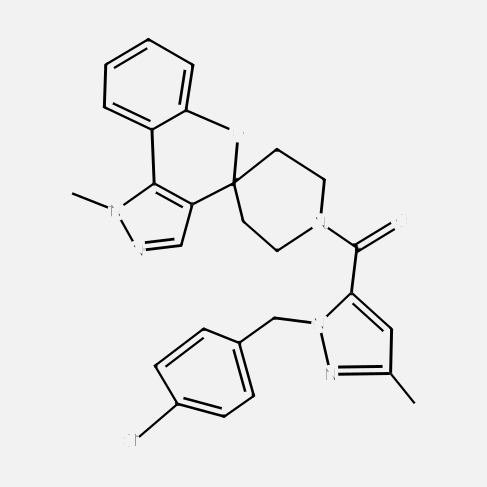 Cc1cc(C(=O)N2CCC3(CC2)Oc2ccccc2-c2c3cnn2C)n(Cc2ccc(Cl)cc2)n1